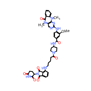 COc1cc(C(=O)NC2CCN(C(=O)CCCCNc3cccc4c3C(=O)N(C3CCC(=O)NC3=O)C4=O)CC2)ccc1Nc1ncc2c(n1)N(C)c1ccccc1C(=O)N2C